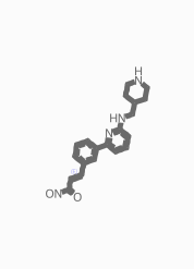 O=NC(=O)/C=C/c1cccc(-c2cccc(NCC3CCNCC3)n2)c1